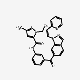 CCn1nc(C)cc1C(=O)Nc1cccc(C(=O)c2ccc3cnn(C=Cc4ccccn4)c3c2)c1